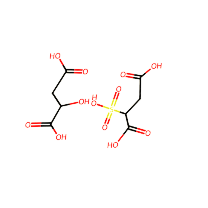 O=C(O)CC(C(=O)O)S(=O)(=O)O.O=C(O)CC(O)C(=O)O